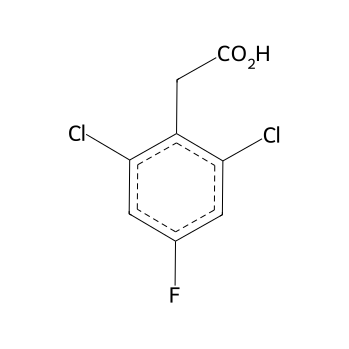 O=C(O)Cc1c(Cl)cc(F)cc1Cl